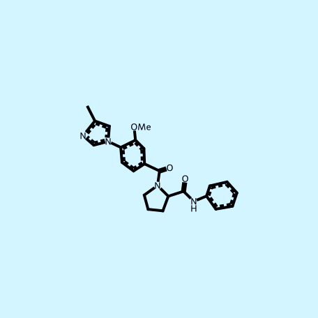 COc1cc(C(=O)N2CCCC2C(=O)Nc2ccccc2)ccc1-n1cnc(C)c1